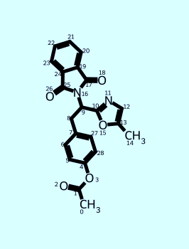 CC(=O)Oc1ccc(CC(c2ncc(C)o2)N2C(=O)c3ccccc3C2=O)cc1